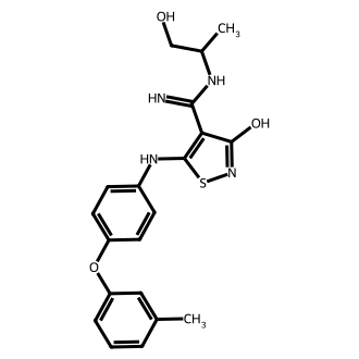 Cc1cccc(Oc2ccc(Nc3snc(O)c3C(=N)NC(C)CO)cc2)c1